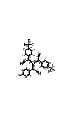 Cc1ccc(/C(C#N)=C2/C(=C(C#N)c3ccc(C(F)(F)F)cc3)/C2=C(/C#N)c2ccc(C(F)(F)F)cc2)cc1